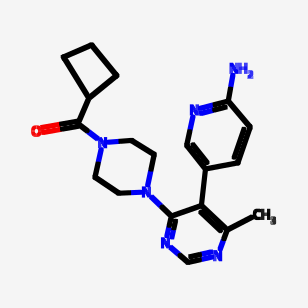 Cc1ncnc(N2CCN(C(=O)C3CCC3)CC2)c1-c1ccc(N)nc1